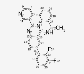 CC(Nc1nc(-c2cccnc2)nc2ccc(-c3cccc(F)c3F)cc12)c1ccccc1